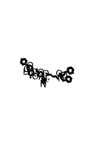 CCC1O[C@H](OCCCCCN(Cc2ccccc2)C(=O)OCc2ccccc2)C(N=[N+]=[N-])[C@@H](C)[C@@H]1O[C@@H]1OC2COC(c3ccccc3)O[C@H]2[C@H](C)C1C